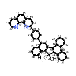 CC1(C)c2c(cc(-c3ccc(-c4ccc5ccc6cccnc6c5n4)cc3)c3ccccc23)-c2c1c1ccccc1c1ccccc21